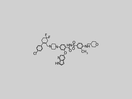 Cc1cc(S(=O)(=O)NC(=O)c2ccc(N3CCN(CC4=C(c5ccc(Cl)cc5)CCC(F)(F)C4)CC3)cc2Oc2cnc3[nH]ccc3c2)ccc1NCC1CCOCC1